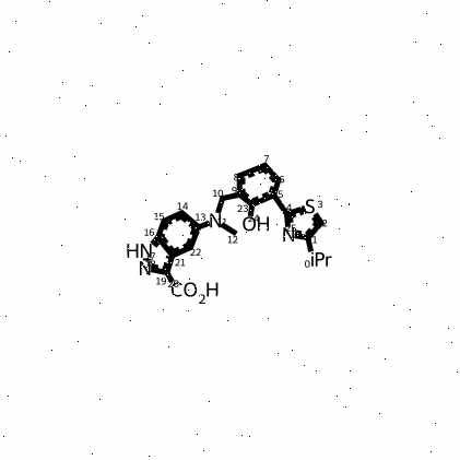 CC(C)c1csc(-c2cccc(CN(C)c3ccc4[nH]nc(C(=O)O)c4c3)c2O)n1